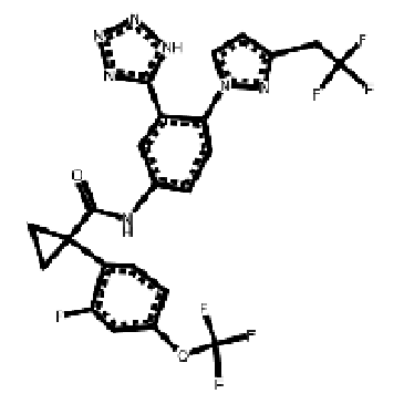 O=C(Nc1ccc(-n2ccc(CC(F)(F)F)n2)c(-c2nnn[nH]2)c1)C1(c2ccc(OC(F)(F)F)cc2F)CC1